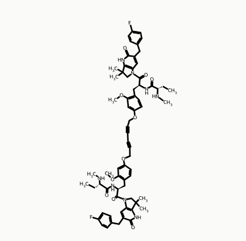 CC[C@H](NC)C(=O)N[C@@H](Cc1ccc(OCC#CC#CCOc2ccc(C[C@H](NC(=O)[C@H](CC)NC)C(=O)N3CC(C)(C)c4[nH]c(=O)c(Cc5ccc(F)cc5)cc43)c(OC)c2)cc1OC)C(=O)N1CC(C)(C)c2[nH]c(=O)c(Cc3ccc(F)cc3)cc21